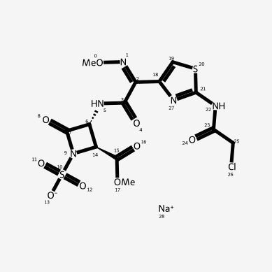 CO/N=C(\C(=O)N[C@H]1C(=O)N(S(=O)(=O)[O-])[C@@H]1C(=O)OC)c1csc(NC(=O)CCl)n1.[Na+]